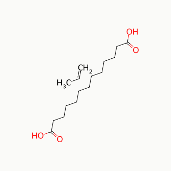 C=CC.O=C(O)CCCCCCCCCCCC(=O)O